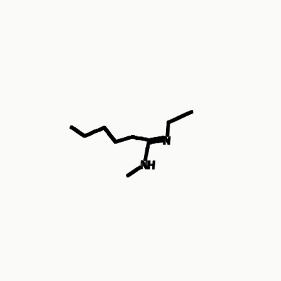 CCCCC/C(=N\CC)NC